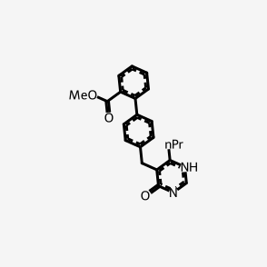 CCCc1[nH]cnc(=O)c1Cc1ccc(-c2ccccc2C(=O)OC)cc1